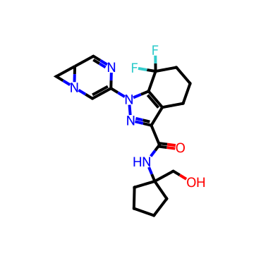 O=C(NC1(CO)CCCC1)c1nn(C2=CN3CC3C=N2)c2c1CCCC2(F)F